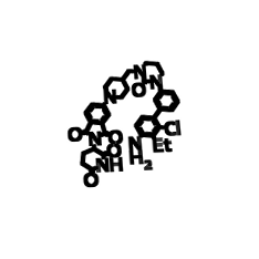 CCc1c(N)ccc(-c2cccc(N3CCCN(CC4CCN(c5ccc6c(c5)C(=O)N(C5CCC(=O)NC5=O)C6=O)CC4)C3=O)c2)c1Cl